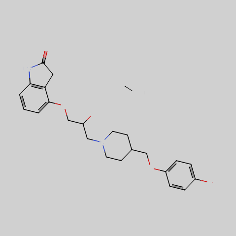 CC(=O)O.O=C1Cc2c(cccc2OCC(O)CN2CCC(COc3ccc(O)cc3)CC2)N1